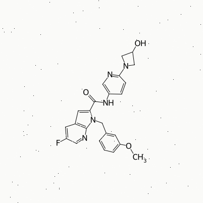 COc1cccc(Cn2c(C(=O)Nc3ccc(N4CC(O)C4)nc3)cc3cc(F)cnc32)c1